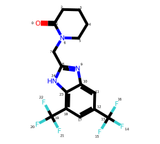 O=C1CCCCN1Cc1nc2cc(C(F)(F)F)cc(C(F)(F)F)c2[nH]1